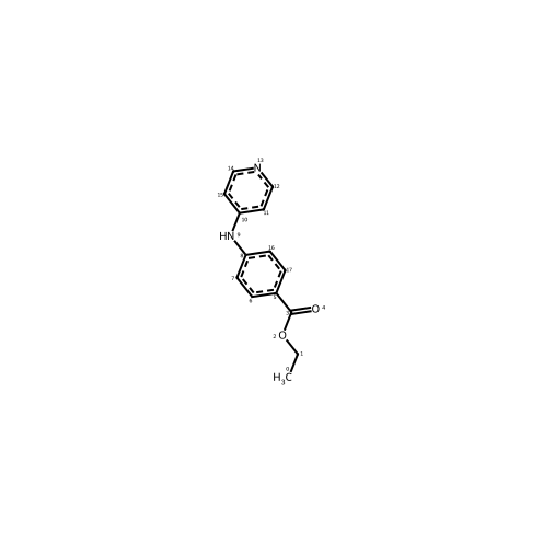 CCOC(=O)c1ccc(Nc2ccncc2)cc1